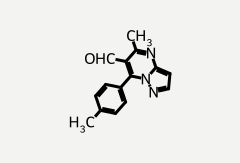 Cc1ccc(-c2c(C=O)c(C)nc3ccnn23)cc1